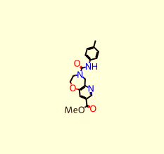 COC(=O)c1cnc2c(c1)OCCN(C(=O)Nc1ccc(C)cc1)C2